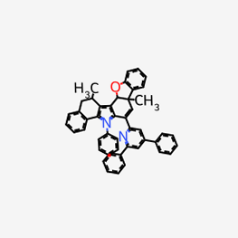 CC1Cc2ccccc2-c2c1c1c(n2-c2ccccc2)C(c2cc(-c3ccccc3)cc(-c3ccccc3)n2)=CC2(C)c3ccccc3OC12